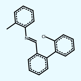 Cc1ccccc1N=Cc1ccccc1-c1ccccc1Cl